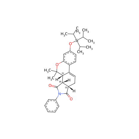 CC(C)[Si](Oc1ccc2c(c1)OC(C)(C)[C@@H]1C2=CC[C@@H]2C(=O)N(c3ccccc3)C(=O)[C@@H]21)(C(C)C)C(C)C